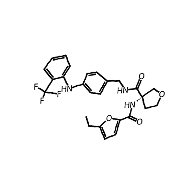 CCc1ccc(C(=O)N[C@@]2(C(=O)NCc3ccc(Nc4ccccc4C(F)(F)F)cc3)CCOC2)o1